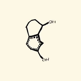 Oc1ccc2c(c1)C(O)C[CH]2